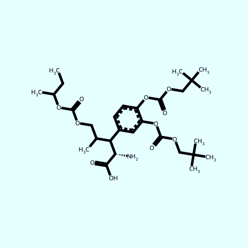 CCC(C)OC(=O)OCC(C)C(c1ccc(OC(=O)OCC(C)(C)C)c(OC(=O)OCC(C)(C)C)c1)[C@H](N)C(=O)O